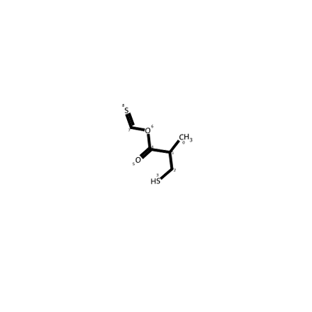 CC(CS)C(=O)OC=S